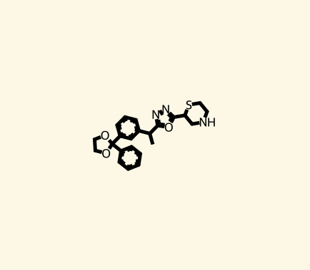 CC(c1cccc(C2(c3ccccc3)OCCO2)c1)c1nnc(C2CNCCS2)o1